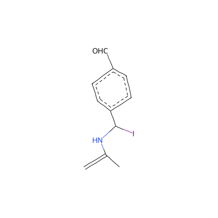 C=C(C)NC(I)c1ccc(C=O)cc1